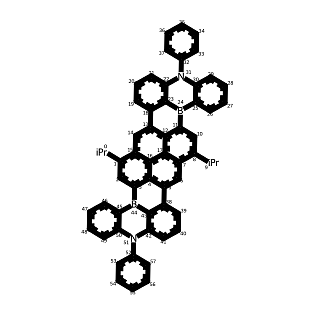 CC(C)c1cc2c3c(cc4c(C(C)C)cc5c6c(cc1c3c46)-c1cccc3c1B5c1ccccc1N3c1ccccc1)-c1cccc3c1B2c1ccccc1N3c1ccccc1